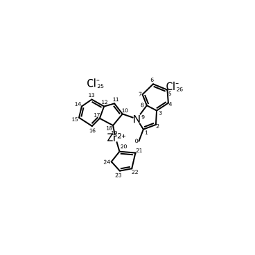 Cc1cc2ccccc2n1C1=Cc2ccccc2[CH]1[Zr+2][C]1=CC=CC1.[Cl-].[Cl-]